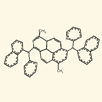 CC1=CC(N(c2ccccn2)c2cccc3ccccc23)=C2C=Cc3c(C)cc(N(c4ccccn4)c4cccc5ccccc45)c4c3C2C1C=C4